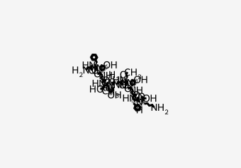 CC(C)C[C@H](NC(=O)CNC(=O)[C@@H]1C[C@@H](O)CN1C(=O)[C@@H](NC(=O)CNC(=O)[C@@H]1C[C@@H](O)CN1C(=O)[C@H](Cc1ccccc1)NC(=O)CN)[C@@H](C)O)C(=O)N1C[C@H](O)C[C@H]1C(=O)NCC(=O)N[C@@H](Cc1ccccc1)C(=O)N[C@@H](CCCCN)C(=O)O